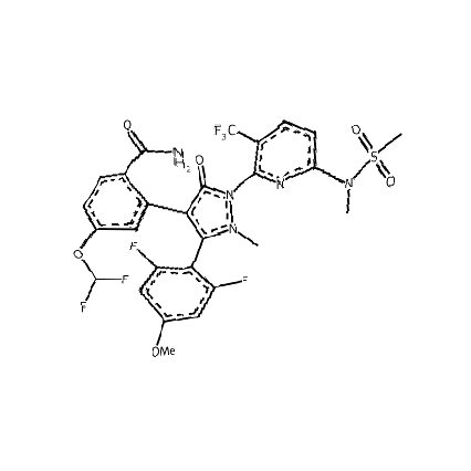 COc1cc(F)c(-c2c(-c3cc(OC(F)F)ccc3C(N)=O)c(=O)n(-c3nc(N(C)S(C)(=O)=O)ccc3C(F)(F)F)n2C)c(F)c1